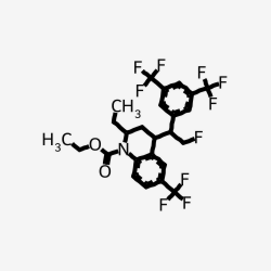 CCOC(=O)N1c2ccc(C(F)(F)F)cc2C(C(CF)c2cc(C(F)(F)F)cc(C(F)(F)F)c2)CC1CC